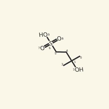 CC(C)(O)CCS(=O)(=O)O